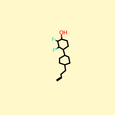 C=CCCC1CCC(C2CCC(O)C(F)C2F)CC1